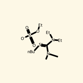 CCCC/[S+]=C(\N(C)C)N(CC)CC.CCOS(=O)(=O)[O-]